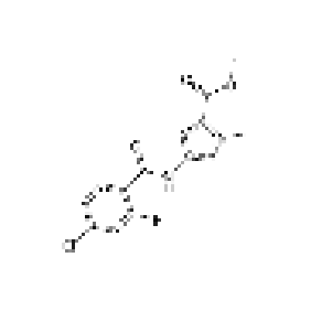 COC(=O)c1cc(NC(=O)c2ccc(Cl)cc2F)cn1C